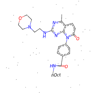 CCCCCCCCNC(=O)c1ccc(-n2c(=O)ccc3c(C)nc(NCCN4CCOCC4)nc32)cc1